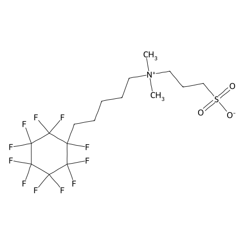 C[N+](C)(CCCCCC1(F)C(F)(F)C(F)(F)C(F)(F)C(F)(F)C1(F)F)CCCS(=O)(=O)[O-]